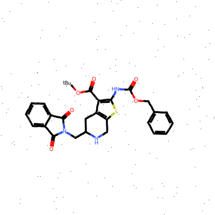 CC(C)(C)OC(=O)c1c(NC(=O)OCc2ccccc2)sc2c1CC(CN1C(=O)c3ccccc3C1=O)NC2